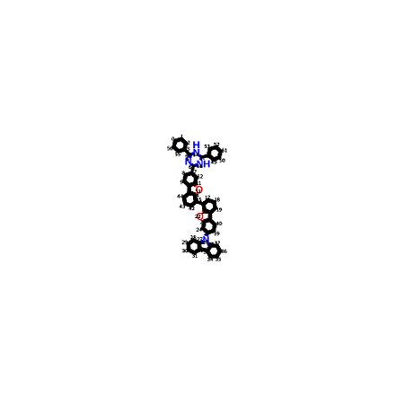 c1ccc(C2=NC(c3ccc4c(c3)oc3c(-c5cccc6c5oc5cc(-n7c8ccccc8c8ccccc87)ccc56)cccc34)NC(c3ccccc3)N2)cc1